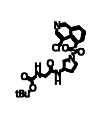 CC(C)(C)OC(=O)NCC(=O)NC1CCN(S(=O)(=O)c2cccc3cncc(Cl)c23)C1